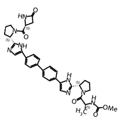 COC(=O)N[C@@H](C)C(=O)N1CCC[C@H]1c1ncc(-c2ccc(-c3ccc(-c4cnc([C@@H]5CCCN5C(=O)[C@@H]5CC(=O)N5)[nH]4)cc3)cc2)[nH]1